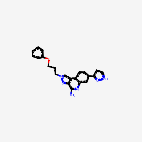 Nc1nc2cc(-c3cc[nH]n3)ccc2c2cn(CCCOc3ccccc3)nc12